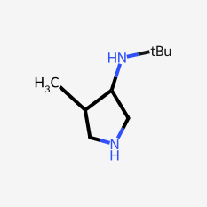 CC1CNCC1NC(C)(C)C